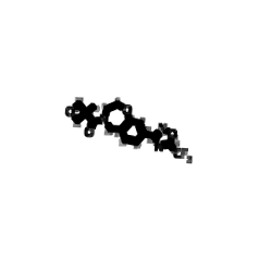 CC1(C(=O)N2CCOc3cc(-c4noc(C(F)(F)F)n4)ccc3C2)COC1